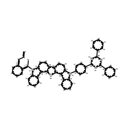 C=C/C=c1/cccc/c1=C(/C)n1c2ccccc2c2c3oc4c(ccc5c4c4ccccc4n5-c4ccc(-c5nc(-c6ccccc6)nc(-c6ccccc6)n5)cc4)c3ccc21